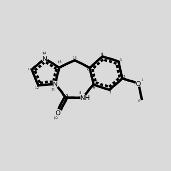 COc1ccc2c(c1)NC(=O)n1ccnc1C2